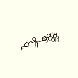 CC(C)(Oc1ccc(CCNC(=O)C=Cc2ccc(F)cc2)cc1)C(=O)O